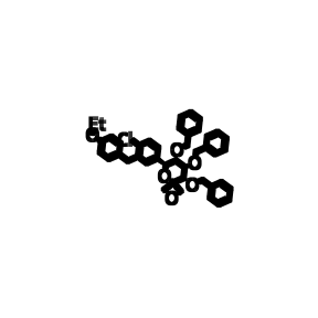 CCOc1ccc(Cc2cc([C@@H]3OC4(COC4)[C@@H](OCc4ccccc4)[C@H](OCc4ccccc4)[C@H]3OCc3ccccc3)ccc2Cl)cc1